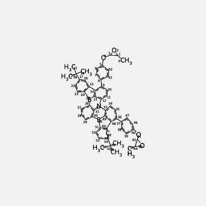 CC1OC1Oc1ccc(-c2ccc3c4c2-c2cc(C(C)(C)C)ccc2B4c2cccc4c2N3c2ccc(-c3ccc(OC5OC5C)cc3)c3c2B4c2ccc(C(C)(C)C)cc2-3)cc1